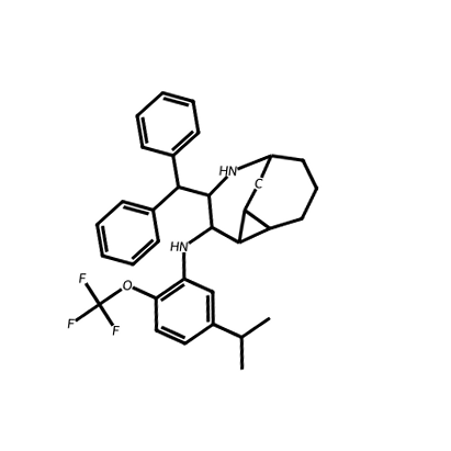 CC(C)c1ccc(OC(F)(F)F)c(NC2C(C(c3ccccc3)c3ccccc3)NC3CCCC4C(C3)C42)c1